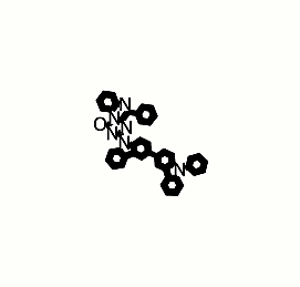 O=c1nc(-n2c3ccccc3c3cc(-c4ccc5c(c4)c4ccccc4n5-c4ccccc4)ccc32)nc2c(-c3ccccc3)nc3ccccc3n12